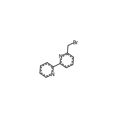 BrCc1cccc(-c2ccccn2)n1